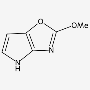 COc1nc2[nH]ccc2o1